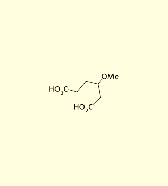 COC(CCC(=O)O)CC(=O)O